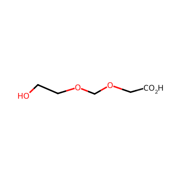 O=C(O)COCOCCO